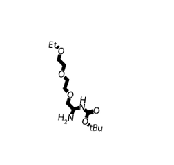 CCOCCOCCOCC(N)NC(=O)OC(C)(C)C